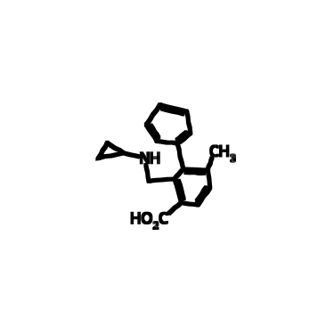 Cc1ccc(C(=O)O)c(CNC2CC2)c1-c1ccccc1